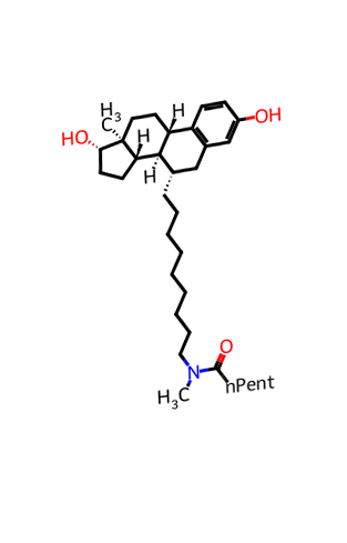 CCCCCC(=O)N(C)CCCCCCCCC[C@H]1Cc2cc(O)ccc2[C@H]2CC[C@]3(C)[C@@H](O)CC[C@H]3[C@H]12